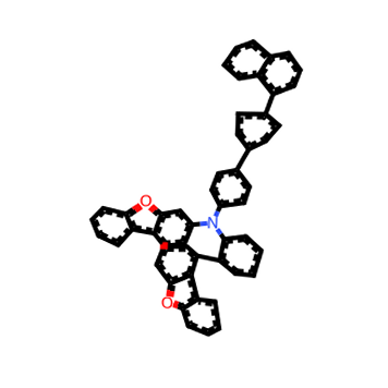 c1ccc(N(c2ccc(-c3ccc(-c4cccc5ccccc45)cc3)cc2)c2ccc3c(c2)oc2ccccc23)c(-c2cccc3oc4ccccc4c23)c1